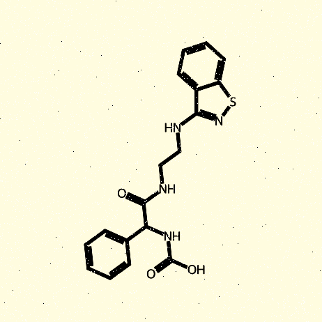 O=C(O)NC(C(=O)NCCNc1nsc2ccccc12)c1ccccc1